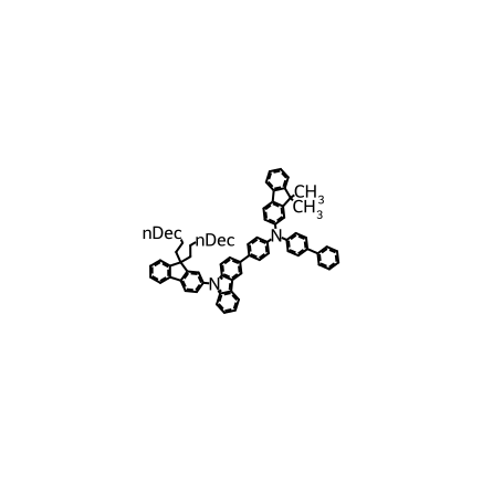 CCCCCCCCCCCCC1(CCCCCCCCCCCC)c2ccccc2-c2ccc(-n3c4ccccc4c4cc(-c5ccc(N(c6ccc(-c7ccccc7)cc6)c6ccc7c(c6)C(C)(C)c6ccccc6-7)cc5)ccc43)cc21